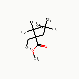 CCC(CC(C)(C)C)(C(=O)OC)C(C)(C)C